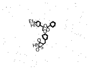 CCC1=CC=C(C(COc2ccc(CC3SC(=O)NC3=O)cc2)OC(=O)c2ccccc2)CN1